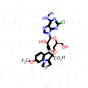 C#C[C@@H](O)[C@@H](O[C@@H](CO)COC(Cc1ccc(OC(F)(F)F)cc1)(C(=O)O)c1cscn1)n1cnc2c(NC(C)C)nc(Cl)nc21